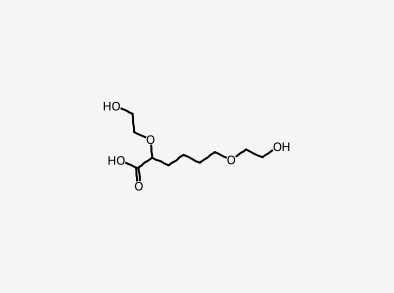 O=C(O)C(CCCCOCCO)OCCO